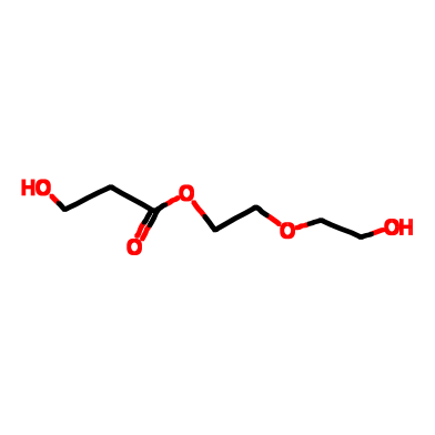 O=C(CCO)OCCOCCO